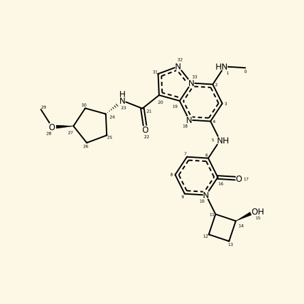 CNc1cc(Nc2cccn(C3CC[C@@H]3O)c2=O)nc2c(C(=O)N[C@@H]3CC[C@@H](OC)C3)cnn12